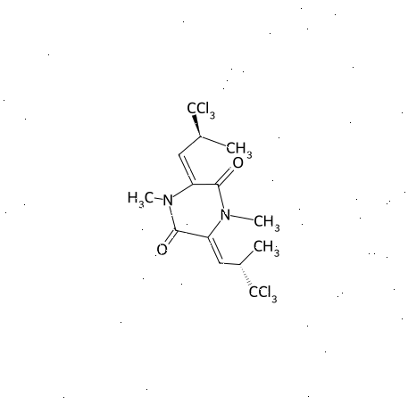 C[C@@H](/C=c1/c(=O)n(C)/c(=C/[C@H](C)C(Cl)(Cl)Cl)c(=O)n1C)C(Cl)(Cl)Cl